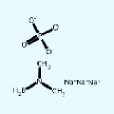 BN(C)C.O=P([O-])([O-])[O-].[Na+].[Na+].[Na+]